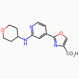 O=C(O)c1coc(-c2ccnc(NC3CCOCC3)c2)n1